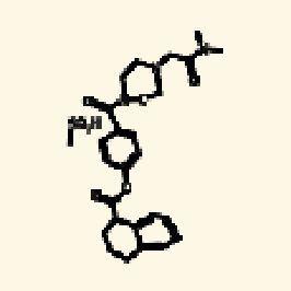 CN(C)C(=O)CN1CCN(C(=O)c2ccc(OC(=O)C3CCCc4ccccc43)cc2)CC1.CS(=O)(=O)O